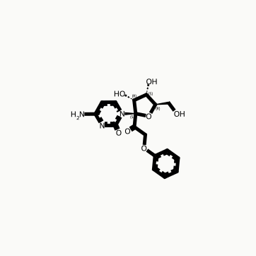 Nc1ccn([C@]2(C(=O)COc3ccccc3)O[C@H](CO)[C@@H](O)[C@H]2O)c(=O)n1